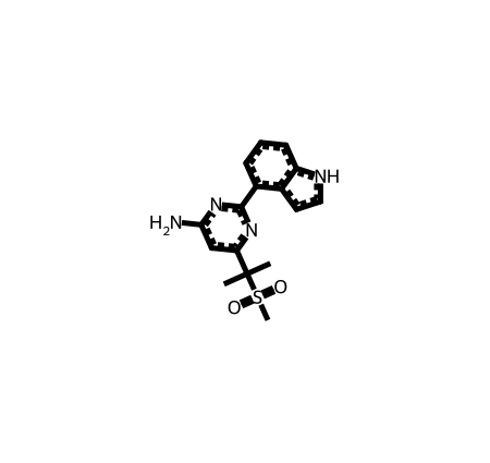 CC(C)(c1cc(N)nc(-c2cccc3[nH]ccc23)n1)S(C)(=O)=O